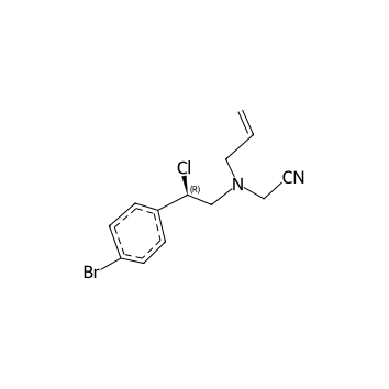 C=CCN(CC#N)C[C@H](Cl)c1ccc(Br)cc1